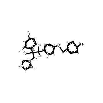 N#Cc1ccc(COc2ccc(C(F)(F)C(O)(Cn3cnnn3)c3ccc(Cl)cc3F)nc2)cc1